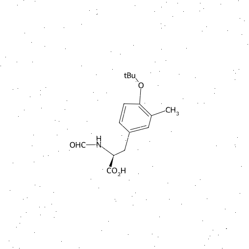 Cc1cc(C[C@H](NC=O)C(=O)O)ccc1OC(C)(C)C